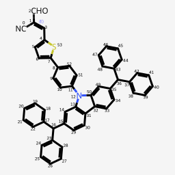 N#C/C(C=O)=C\c1ccc(-c2ccc(-n3c4cc(C(c5ccccc5)c5ccccc5)ccc4c4ccc(C(c5ccccc5)c5ccccc5)cc43)cc2)s1